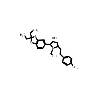 CCC1(CC)Oc2ccc(C3CCC(CCc4ccc(C)cc4)N3CO)cc2S1.Cl